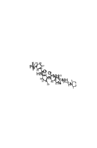 CCN(CC)CCCNc1ncc2c(c1C)NC(=O)N(c1cc(NC(=O)c3cccc(C(F)(F)F)c3)ccc1C)C2